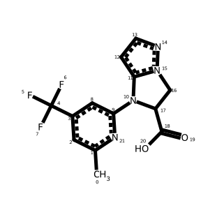 Cc1cc(C(F)(F)F)cc(N2c3ccnn3CC2C(=O)O)n1